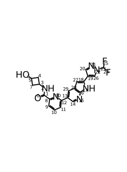 O=C(NC1CC(O)C1)c1cccc(-c2cnc3[nH]c(-c4cnn(C(F)F)c4)cc3c2)n1